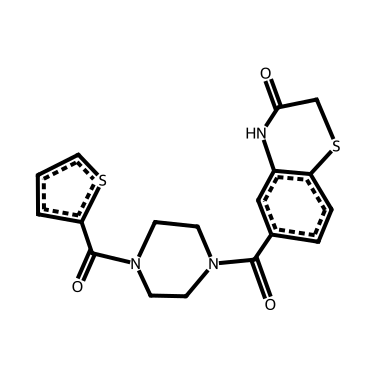 O=C1CSc2ccc(C(=O)N3CCN(C(=O)c4cccs4)CC3)cc2N1